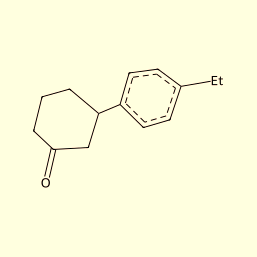 CCc1ccc(C2CCCC(=O)C2)cc1